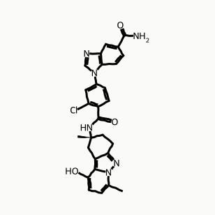 Cc1ccc(O)c2c3c(nn12)CC[C@@](C)(NC(=O)c1ccc(-n2cnc4cc(C(N)=O)ccc42)cc1Cl)C3